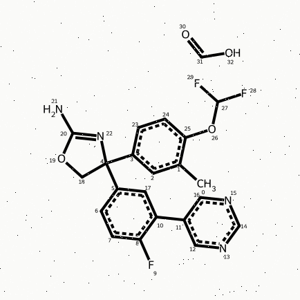 Cc1cc(C2(c3ccc(F)c(-c4cncnc4)c3)COC(N)=N2)ccc1OC(F)F.O=CO